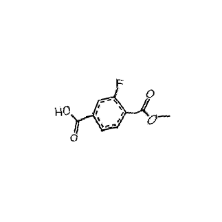 COC(=O)c1ccc(C(=O)O)cc1F